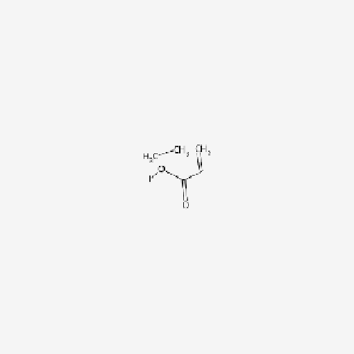 C=CC(=O)OI.CC